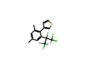 Cc1[c]c(C)c(-c2ccsc2)c(C(F)(C(F)(F)F)C(F)(F)F)c1